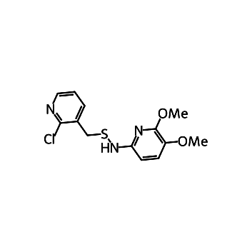 COc1ccc(NSCc2cccnc2Cl)nc1OC